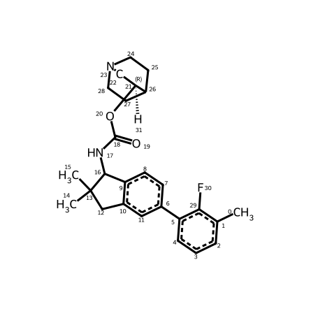 Cc1cccc(-c2ccc3c(c2)CC(C)(C)C3NC(=O)O[C@H]2CN3CCC2CC3)c1F